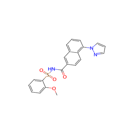 COc1ccccc1S(=O)(=O)NC(=O)c1ccc2c(-n3cccn3)cccc2c1